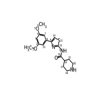 COc1cc(OC)cc(-c2csc(NC(=O)C3CCNCC3)n2)c1